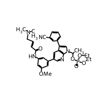 CCOP(=O)(OCC)OC(C)n1cc(-c2cccc(C#N)c2)c2cc(-c3cc(NC(=O)C=CCN(C)C)cc(OC)c3)cnc21